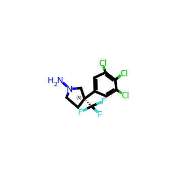 NN1CC[C@@](c2cc(Cl)c(Cl)c(Cl)c2)(C(F)(F)F)C1